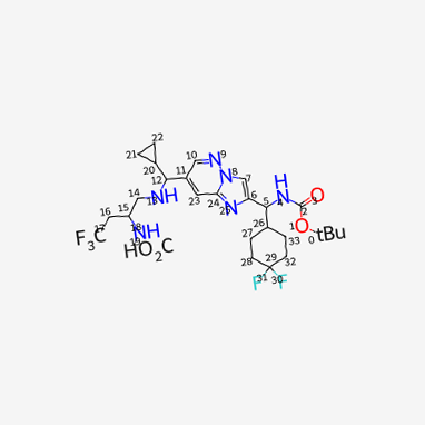 CC(C)(C)OC(=O)NC(c1cn2ncc(C(NCC(CC(F)(F)F)NC(=O)O)C3CC3)cc2n1)C1CCC(F)(F)CC1